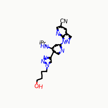 CC(C)Nc1cc(-n2ncc3cc(C#N)cnc32)ncc1-c1cn(CCCCO)nn1